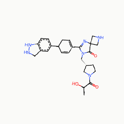 CC(O)C(=O)N1CC[C@@H](CN2C(=O)C3(CNC3)N=C2C2=CCC(c3ccc4c(c3)CNN4)C=C2)C1